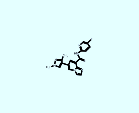 Cc1nn(C)cc1-c1cc(C(=O)Nc2ccc(F)cn2)c2nccn2c1